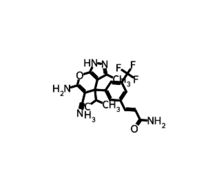 Cc1n[nH]c2c1C(c1cc(C=CC(N)=O)cc(C(F)(F)F)c1)(C(C)C)C(C#N)=C(N)O2